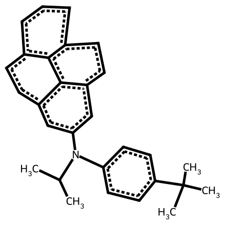 CC(C)N(c1ccc(C(C)(C)C)cc1)c1cc2ccc3cccc4ccc(c1)c2c34